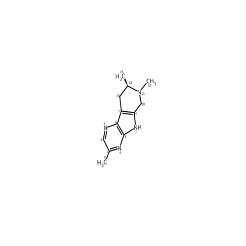 Cc1cnc2c3c([nH]c2n1)CN(C)[C@H](C)C3